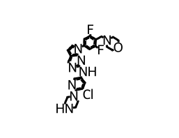 Fc1cc(-n2ccc3cnc(Nc4cnc(N5CCNCC5)c(Cl)c4)nc32)cc(F)c1CN1CCOCC1